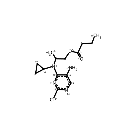 CCCC(=O)OCC(C)N(c1nc(Cl)ncc1N)C1CC1